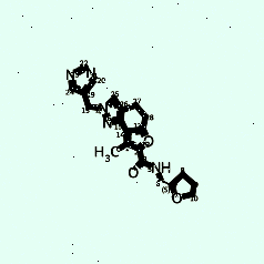 Cc1c(C(=O)NC[C@@H]2CCCO2)oc2c1-c1nn(Cc3cncnc3)cc1CC2